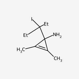 CCC(I)(CC)C1(N)C(C)=C1C